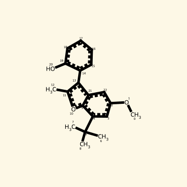 COc1cc(C(C)(C)C)c2oc(C)c(-c3ccccc3O)c2c1